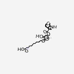 C[C@@H]1O[C@@H](OCCCCCCC/C=C/C(=O)O)[C@H](O)C[C@H]1OC(=O)c1c[nH]c2ccccc12